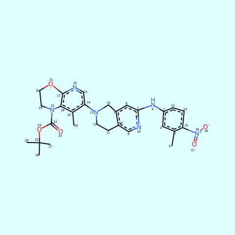 Cc1cc(Nc2cc3c(cn2)CCN(c2cnc4c(c2C)N(C(=O)OC(C)(C)C)CCO4)C3)ccc1[N+](=O)[O-]